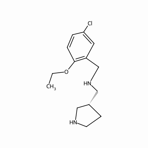 CCOc1ccc(Cl)cc1CNC[C@@H]1CCNC1